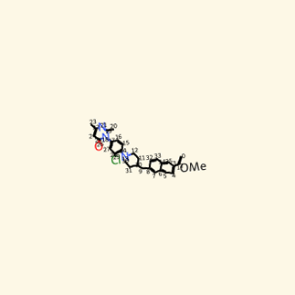 C=C(OC)c1ccc2cc(CC3CCN(c4ccc(-n5c(C)nc(C)cc5=O)cc4Cl)CC3)ccc2c1